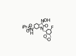 CC(C)S(=O)(=O)Nc1ccc2c(c1)N(Cc1cc(F)cc3c1OCOC3)C(=O)/C2=N\O